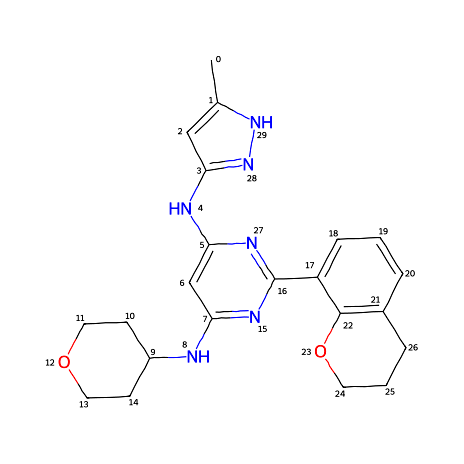 Cc1cc(Nc2cc(NC3CCOCC3)nc(-c3cccc4c3OCCC4)n2)n[nH]1